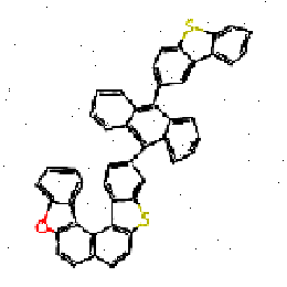 c1ccc2c(c1)oc1ccc3ccc4sc5cc(-c6c7ccccc7c(-c7ccc8sc9ccccc9c8c7)c7ccccc67)ccc5c4c3c12